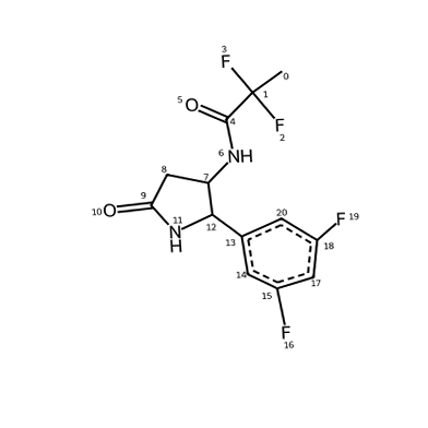 CC(F)(F)C(=O)NC1CC(=O)NC1c1cc(F)cc(F)c1